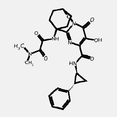 CN(C)C(=O)C(=O)NC12CCC(CC1)Cn1c2nc(C(=O)N[C@H]2C[C@@H]2c2ccccc2)c(O)c1=O